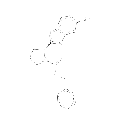 O=C(OCc1ccccc1)N1CCC[C@H]1c1nc2cc(Br)ccc2o1